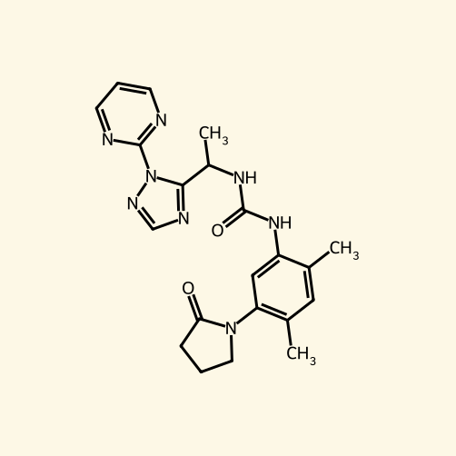 Cc1cc(C)c(N2CCCC2=O)cc1NC(=O)NC(C)c1ncnn1-c1ncccn1